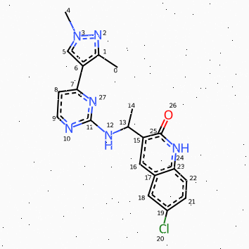 Cc1nn(C)cc1-c1ccnc(NC(C)c2cc3cc(Cl)ccc3[nH]c2=O)n1